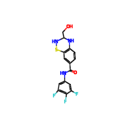 O=C(Nc1cc(F)c(F)c(F)c1)c1ccc2c(c1)SNC(CO)N2